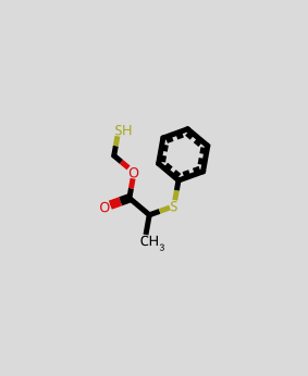 CC(Sc1ccccc1)C(=O)OCS